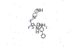 C=Cc1sc(C(=O)Nc2cc(-c3ccccc3)ccc2N)cc1/C=C\CN1CCC2(CCNC2)CC1